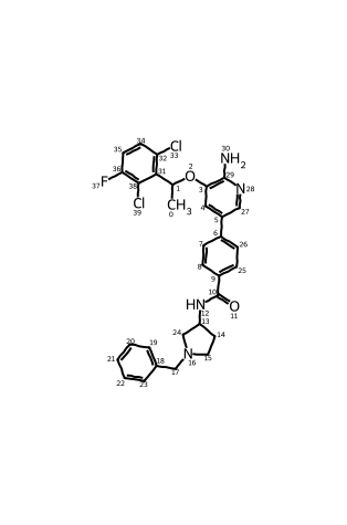 CC(Oc1cc(-c2ccc(C(=O)NC3CCN(Cc4ccccc4)C3)cc2)cnc1N)c1c(Cl)ccc(F)c1Cl